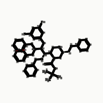 CC(C)(C)OC(=O)N1C[C@@H](COc2ccccc2)OCC1[C@H](OCc1ccccc1)C(Cc1cc(F)cc(F)c1)N(Cc1ccccc1)Cc1ccccc1